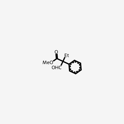 CCC(C=O)(C(=O)OC)c1ccccc1